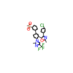 Cc1nc(-c2ccc(Cl)cc2)c(-c2cc(-c3cccc(S(C)(=O)=O)c3)ccc2-n2cc(C(F)(F)F)nc2C)o1